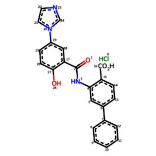 Cl.O=C(Nc1cc(-c2ccccc2)ccc1C(=O)O)c1cc(-n2ccnc2)ccc1O